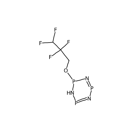 FC(F)C(F)(F)COP1N=PN=PN1